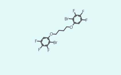 Fc1cc(OCCCCOc2cc(F)c(F)c(F)c2Br)c(Br)c(F)c1F